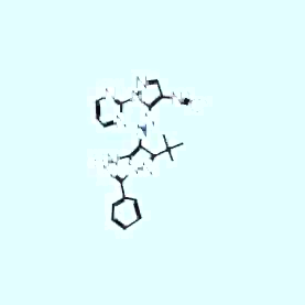 [C-]#[N+]c1cnn(-c2ncccn2)c1/N=N/c1c(C(C)(C)C)nn2c(-c3ccccc3)n[nH]c12